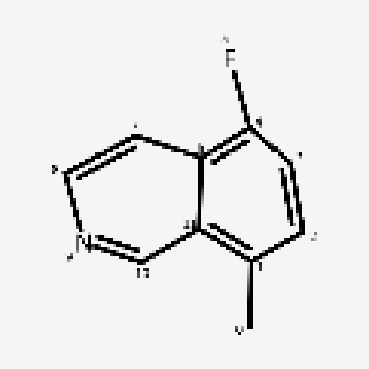 Cc1ccc(F)c2ccncc12